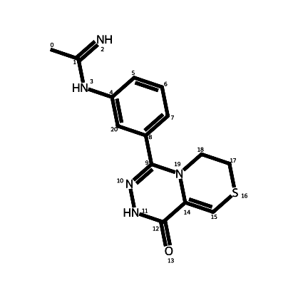 CC(=N)Nc1cccc(C2=NNC(=O)C3=CSCCN32)c1